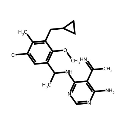 COc1c(C(C)Nc2ncnc(N)c2C(C)=N)cc(Cl)c(C)c1CC1CC1